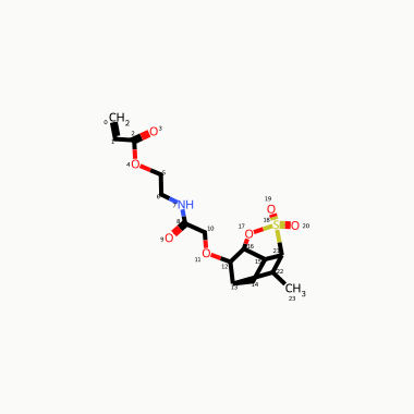 C=CC(=O)OCCNC(=O)COC1C2CC3C1OS(=O)(=O)C3C2C